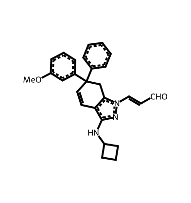 COc1cccc(C2(c3ccccc3)C=Cc3c(NC4CCC4)nn(C=CC=O)c3C2)c1